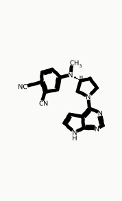 CN(c1ccc(C#N)c(C#N)c1)[C@@H]1CCN(c2ncnc3[nH]ccc23)C1